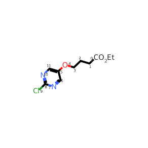 CCOC(=O)CCCOc1cnc(Cl)nc1